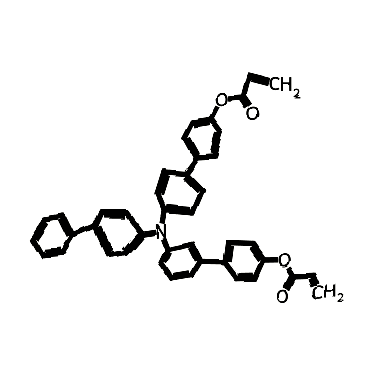 C=CC(=O)Oc1ccc(-c2ccc(N(c3ccc(-c4ccccc4)cc3)c3cccc(-c4ccc(OC(=O)C=C)cc4)c3)cc2)cc1